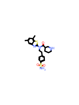 Cc1cc(C)c2sc(N(CCc3ccc(S(N)(=O)=O)cc3)C(=O)C3CCCNC3)nc2c1